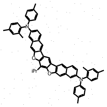 Cc1ccc(N(c2ccc3cc4c(cc3c2)oc2c(C(C)C)c3oc5cc6cc(N(c7ccc(C)cc7)c7ccc(C)cc7C)ccc6cc5c3cc24)c2ccc(C)cc2C)cc1